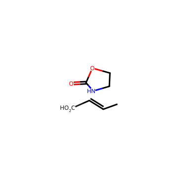 CC=CC(=O)O.O=C1NCCO1